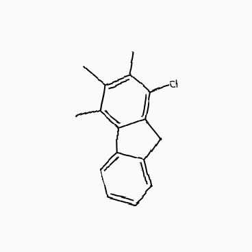 Cc1c(C)c(Cl)c2c(c1C)-c1ccccc1C2